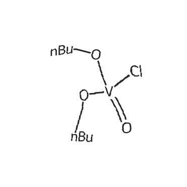 CCCC[O][V](=[O])([Cl])[O]CCCC